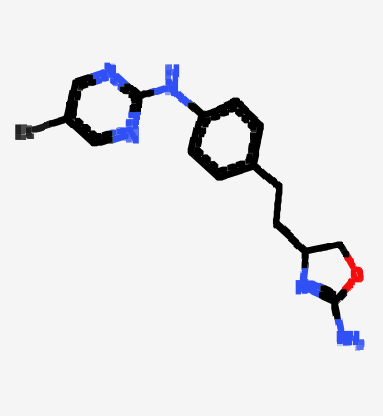 CCc1cnc(Nc2ccc(CCC3COC(N)=N3)cc2)nc1